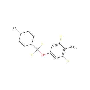 CCC1CCC(C(F)(F)Oc2cc(F)c(C)c(F)c2)CC1